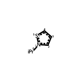 CC(C)[n+]1cccs1